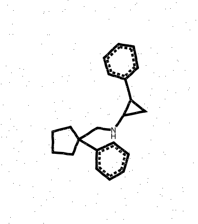 c1ccc(C2CC2NCC2(c3ccccc3)CCCC2)cc1